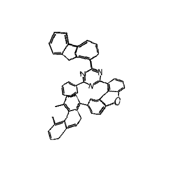 CC1=C2C(=CCc3c(-c4ccc5oc6cccc(-c7nc(-c8ccccc8)nc(-c8cccc9c8Cc8ccccc8-9)n7)c6c5c4)ccc(C)c32)CC=C1